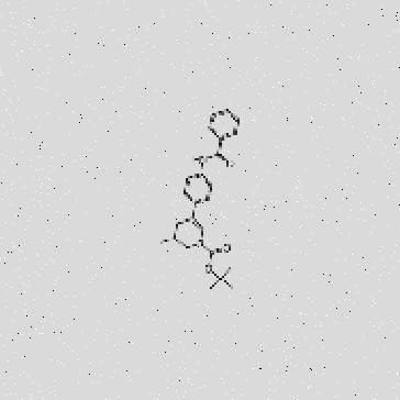 CC1CC(c2ccc(NC(=O)c3ccccc3)cc2)=CN(C(=O)OC(C)(C)C)C1